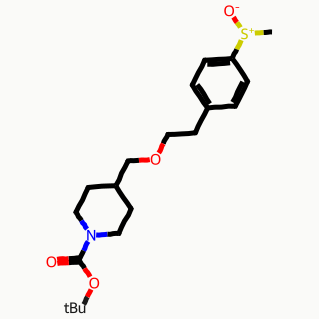 C[S+]([O-])c1ccc(CCOCC2CCN(C(=O)OC(C)(C)C)CC2)cc1